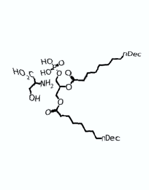 CCCCCCCCCCCCCCCCCC(=O)OCC(COP(=O)(O)O)OC(=O)CCCCCCCCCCCCCCCCC.NC(CO)C(=O)O